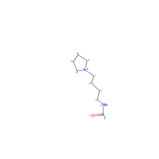 CC(=O)NCCCCN1CCCC1